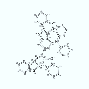 c1ccc(N(c2ccccc2)c2cc(-c3cc4c5ccccc5sc4c4c3oc3ccccc34)cc3sc4c5ccccc5ccc4c23)cc1